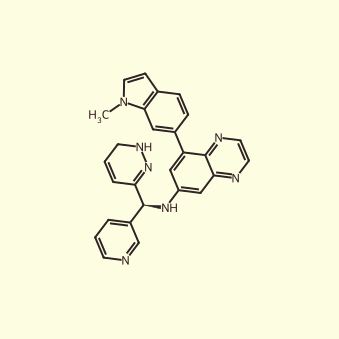 Cn1ccc2ccc(-c3cc(N[C@H](C4=NNCC=C4)c4cccnc4)cc4nccnc34)cc21